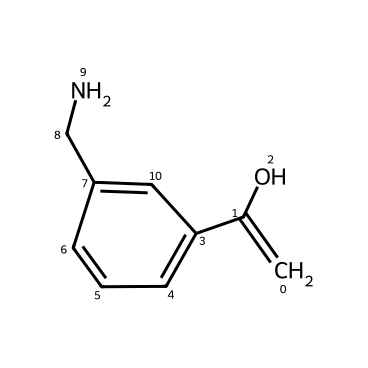 C=C(O)c1cccc(CN)c1